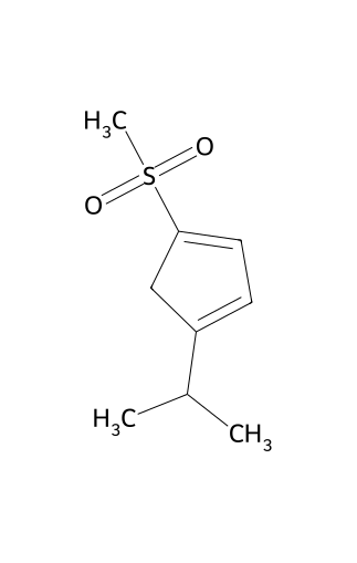 CC(C)C1=CC=C(S(C)(=O)=O)C1